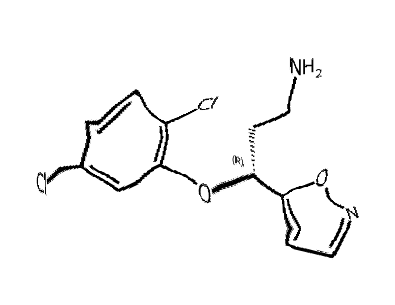 NCC[C@@H](Oc1cc(Cl)ccc1Cl)c1ccno1